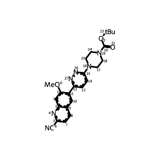 COc1cc2nc(C#N)ccc2cc1-c1ccc(N2CCN(C(=O)OC(C)(C)C)CC2)nn1